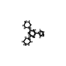 c1cn(-c2nc(N3CCSCC3)nc(N3CCSCC3)n2)cn1